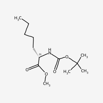 CCCCC[C@H](NC(=O)OC(C)(C)C)C(=O)OC